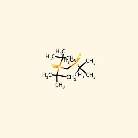 CC(C)(C)P(=S)(C[P@](C)(=S)C(C)(C)C)C(C)(C)C